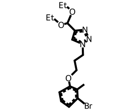 CCOC(OCC)c1cn(CCCOc2cccc(Br)c2C)nn1